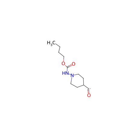 CCCCOC(=O)NN1CCC([C]=O)CC1